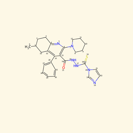 CC1CCc2nc(N3CCCCC3)c(C(=O)NNC(=S)n3ccnc3)c(-c3ccccc3)c2C1